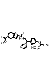 COC(Oc1ccc(C(CNC(=O)c2cc3c(s2)CCN(C(=O)OC(C)(C)C)C3)n2ccnc2)cc1)C(=O)O